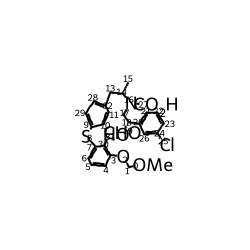 COCOc1cccc(Sc2ccc(C[C@@H](C)N(C[C@@H](O)c3cccc(Cl)c3)C(=O)O)cc2)c1C=O